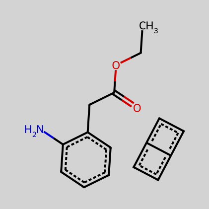 CCOC(=O)Cc1ccccc1N.c1cc2ccc1-2